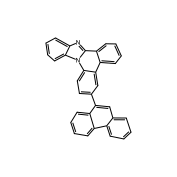 c1ccc2c(c1)cc(-c1ccc3c(c1)c1ccccc1c1nc4ccccc4n31)c1ccccc12